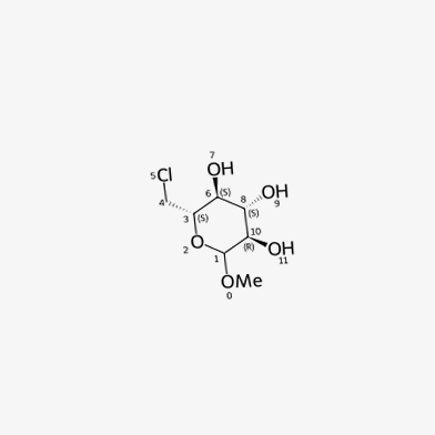 COC1O[C@H](CCl)[C@@H](O)[C@H](O)[C@H]1O